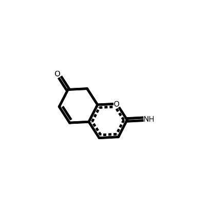 N=c1ccc2c(o1)CC(=O)C=C2